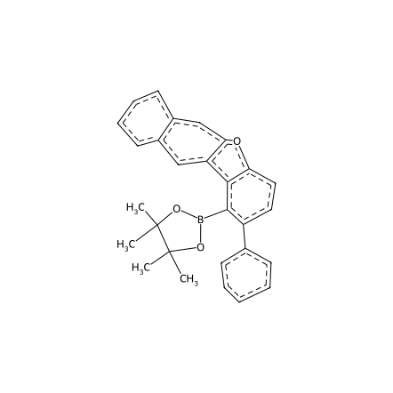 CC1(C)OB(c2c(-c3ccccc3)ccc3oc4cc5ccccc5cc4c23)OC1(C)C